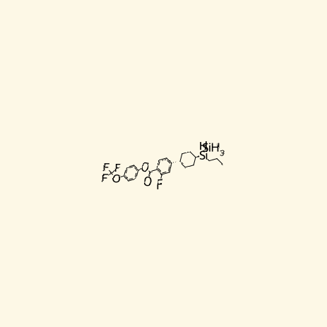 CCC[SiH]([SiH3])[C@H]1CC[C@H](c2ccc(C(=O)Oc3ccc(OC(F)(F)F)cc3)c(F)c2)CC1